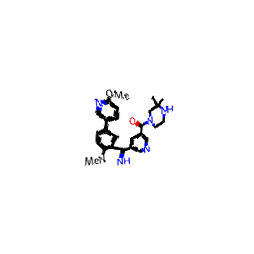 CNc1ccc(-c2ccc(OC)nc2)cc1C(=N)c1cncc(C(=O)N2CCNC(C)(C)C2)c1